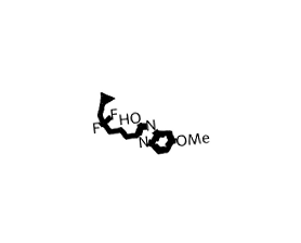 COc1ccc2nc(CCCC(F)(F)CC3CC3)c(O)nc2c1